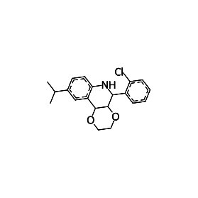 CC(C)c1ccc2c(c1)C1OCCOC1C(c1ccccc1Cl)N2